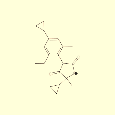 CCc1cc(C2CC2)cc(C)c1C1C(=O)NC(C)(C2CC2)C1=O